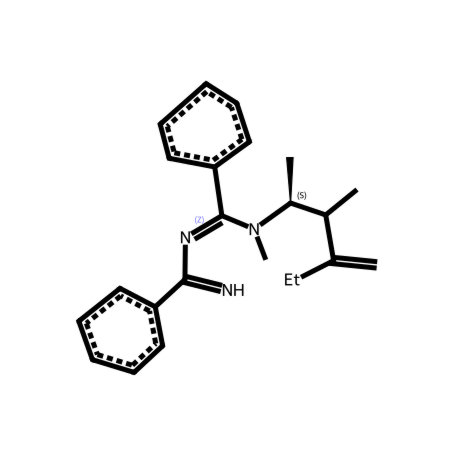 C=C(CC)C(C)[C@H](C)N(C)/C(=N\C(=N)c1ccccc1)c1ccccc1